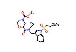 COCCS(=O)(=O)n1cc(CN(C(=O)C2CN(C(=O)OC(C)(C)C)CCO2)C2CC2)c2ccccc21